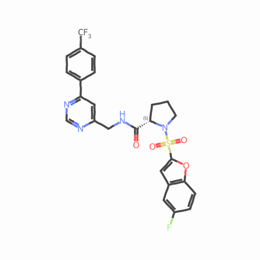 O=C(NCc1cc(-c2ccc(C(F)(F)F)cc2)ncn1)[C@@H]1CCCN1S(=O)(=O)c1cc2cc(F)ccc2o1